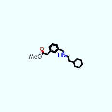 COC(=O)Cc1cccc(CNCCC2CCCCC2)c1